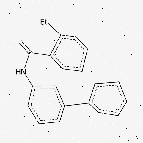 C=C(Nc1cccc(-c2ccccc2)c1)c1ccccc1CC